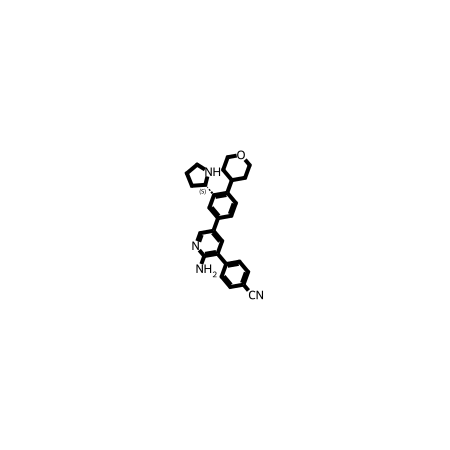 N#Cc1ccc(-c2cc(-c3ccc(C4CCOCC4)c([C@@H]4CCCN4)c3)cnc2N)cc1